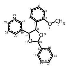 COc1ccccc1C1OC(c2ccccc2)OC1c1cccnc1